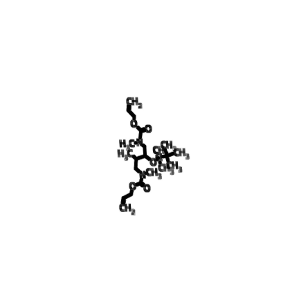 C=CCOC(=O)N(C)CC(C)C(CN(C)C(=O)OCC=C)O[Si](C)(C)C(C)(C)C